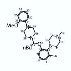 CCCCC(Oc1cccc(C)c1N1CCN(C)CC1)N1CCN(c2ccccc2OC)CC1